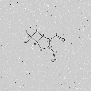 CC1(C)CC2C(C=O)N(C=O)CC21